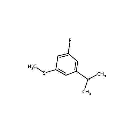 CSc1cc(F)cc([C](C)C)c1